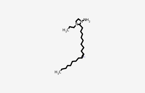 CCCCCCCC/C=C\CCCCCCCCC1N(N)CCN1CCC